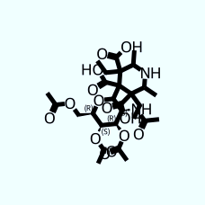 CCC1(C(=O)O)C(C)NC(C)C(CC)(C(=O)O)C1(C(=O)O)C1O[C@H](COC(C)=O)[C@@H](OC(C)=O)[C@H](OC(C)=O)[C@H]1NC(C)=O